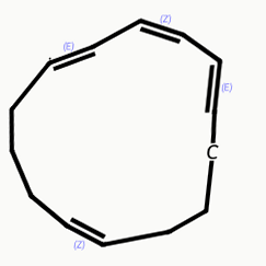 [C]1=C/C=C\C=C\CCC/C=C\CCC/1